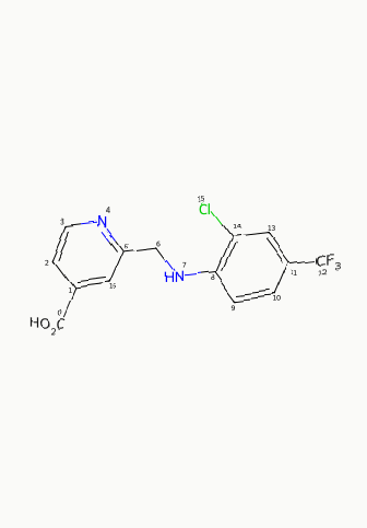 O=C(O)c1ccnc(CNc2ccc(C(F)(F)F)cc2Cl)c1